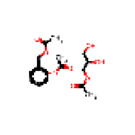 CC(=O)O.CC(=O)OCC(O)CO.CC(=O)OCc1ccccc1